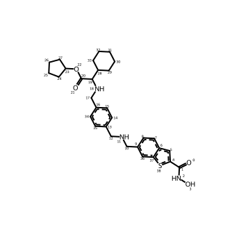 O=C(NO)c1cc2ccc(CNCc3ccc(CNC(C(=O)OC4CCCC4)C4CCCCC4)cc3)cc2s1